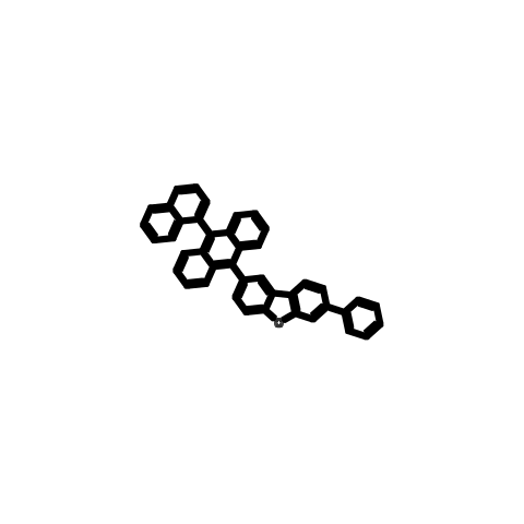 c1ccc(-c2ccc3c(c2)oc2ccc(-c4c5ccccc5c(-c5cccc6ccccc56)c5ccccc45)cc23)cc1